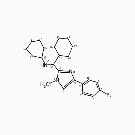 Cn1cc(-c2ccc(F)cc2)nc1C(NC1CCCCC1)C1CCCCC1